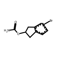 NC(=O)OC1Cc2ccc(Br)cc2C1